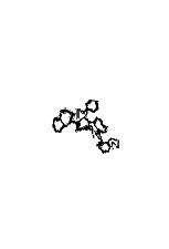 C1=Nc2cccc(-n3c4ccccc4c4c3ccc3c5c6ccccc6ccc5n(-c5ccccc5)c34)c2C1